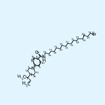 CCC(C)N1CCN(c2ccc(C(=O)NCCCCCCCCCCCCCCCCCBr)cn2)CC1